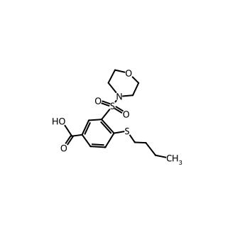 CCCCSc1ccc(C(=O)O)cc1S(=O)(=O)N1CCOCC1